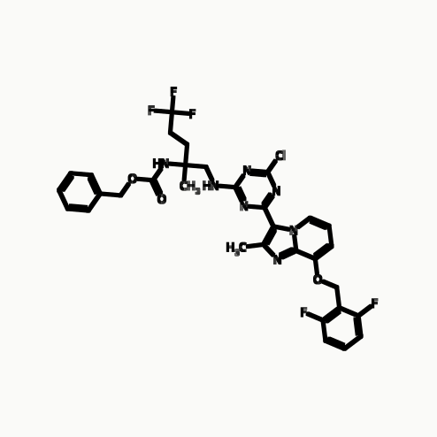 Cc1nc2c(OCc3c(F)cccc3F)cccn2c1-c1nc(Cl)nc(NCC(C)(CCC(F)(F)F)NC(=O)OCc2ccccc2)n1